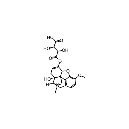 COc1ccc2c3c1OC1C(OC(=O)[C@H](O)[C@@H](O)C(=O)O)=CC[C@@]4(O)[C@@H](C2)N(C)CCC314